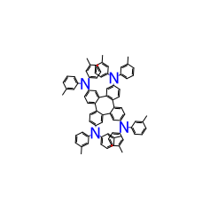 Cc1cccc(N(c2cccc(C)c2)c2ccc3c(c2)-c2cc(N(c4cccc(C)c4)c4cccc(C)c4)ccc2-c2ccc(N(c4cccc(C)c4)c4cccc(C)c4)cc2-c2cc(N(c4cccc(C)c4)c4cccc(C)c4)ccc2-3)c1